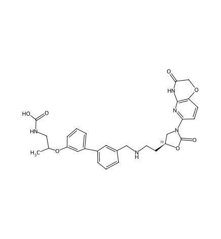 CC(CNC(=O)O)Oc1cccc(-c2cccc(CNCC[C@H]3CN(c4ccc5c(n4)NC(=O)CO5)C(=O)O3)c2)c1